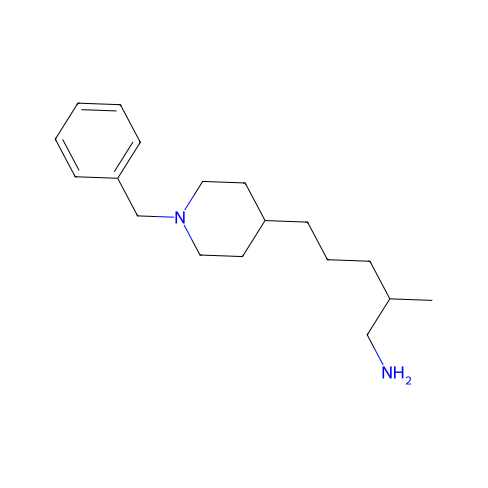 CC(CN)CCCC1CCN(Cc2ccccc2)CC1